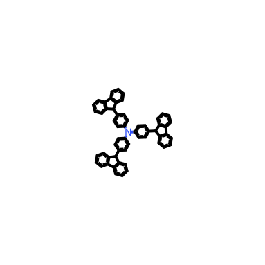 c1ccc2c(c1)-c1ccccc1C2c1ccc(N(c2ccc(C3c4ccccc4-c4ccccc43)cc2)c2ccc(C3c4ccccc4-c4ccccc43)cc2)cc1